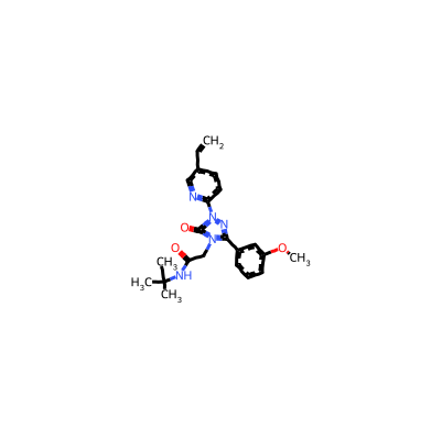 C=Cc1ccc(-n2nc(-c3cccc(OC)c3)n(CC(=O)NC(C)(C)C)c2=O)nc1